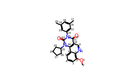 COc1cccc2c1ncc1c(=O)n(-c3cc(C)cc(C)c3)c(=O)n(C3CCCC3)c12